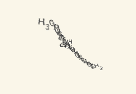 CCCOCCOCCNC(=O)COCCOCCOCCOCCOCC